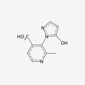 Cc1nccc(C(=O)O)c1-n1nccc1O